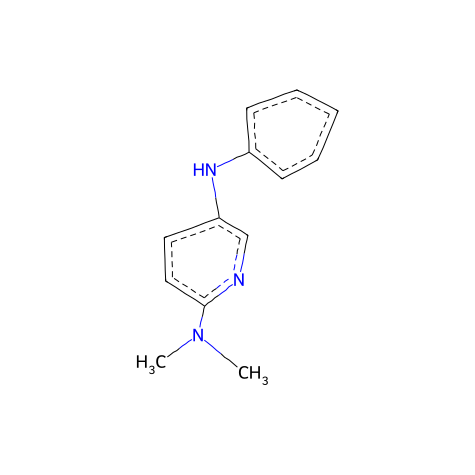 CN(C)c1ccc(Nc2ccccc2)cn1